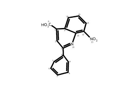 O=C(O)c1cc(-c2ccccc2)nc2c([N+](=O)[O-])cccc12